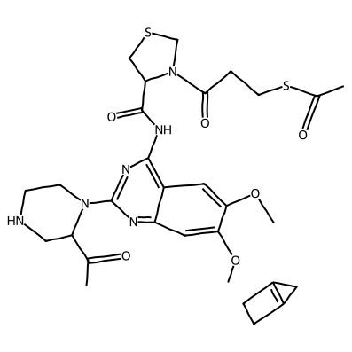 C1CC2=C1C2.COc1cc2nc(N3CCNCC3C(C)=O)nc(NC(=O)C3CSCN3C(=O)CCSC(C)=O)c2cc1OC